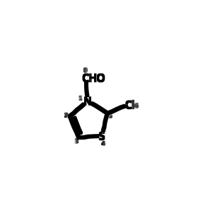 O=CN1C=CSC1Cl